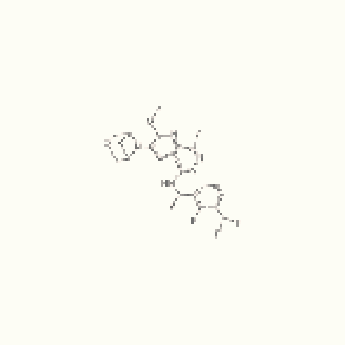 COc1nc2c(C)nnc(N[C@H](C)c3cccc(C(F)F)c3F)c2cc1N1C2COCC1C2